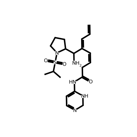 C=C/C=C(\C=C/CC(=O)NC1=CC=NCN1)C(N)C1CCCN1S(=O)(=O)C(C)C